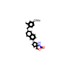 COc1ccc(C[C@@H]2CCc3cc([C@H]4CCC5(COC(=O)N5)C4)ccc3C2)c(C)c1